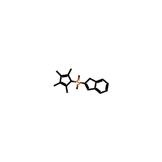 CC1=C(C)C(S(C)(C)C2=Cc3ccccc3C2)C(C)=C1C